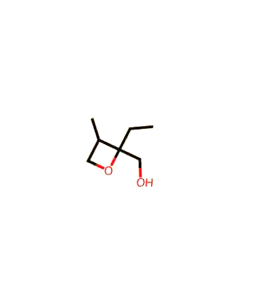 CCC1(CO)OCC1C